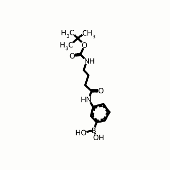 CC(C)(C)OC(=O)NCCCC(=O)Nc1cccc(B(O)O)c1